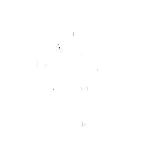 CC1CCC(C(C)(C)O)CC1OC1O[C@H](CO)[C@@H](O)C(=O)[C@H]1O